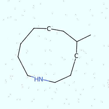 CC1CCCCCCNCCC1